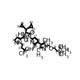 Cc1nn(COCCS(C)(C)C)c(C)c1-c1ccc(NC(=O)C(NC(=O)c2ccnn2CCC(O)C(F)(F)F)C(C2CC2)C2CC2)nc1F